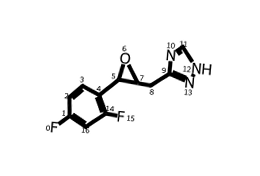 Fc1ccc(C2OC2Cc2nc[nH]n2)c(F)c1